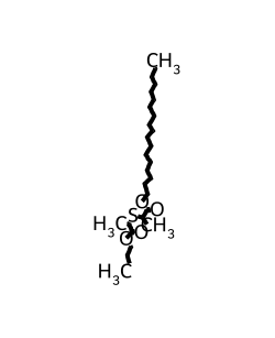 CCCCCCCCCCCCCCCCCCOC(=O)C(C)SC(C)C(=O)OCCCC